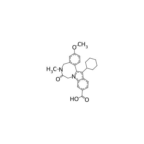 COc1ccc2c(c1)CN(C)C(=O)Cn1c-2c(C2CCCCC2)c2ccc(C(=O)O)cc21